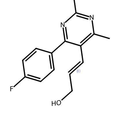 Cc1nc(C)c(/C=C/CO)c(-c2ccc(F)cc2)n1